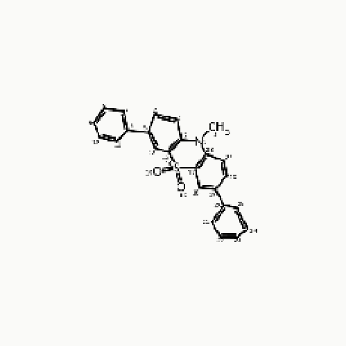 CN1c2ccc(-c3ccccc3)cc2S(=O)(=O)c2cc(-c3ccccc3)ccc21